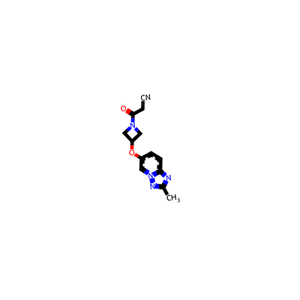 Cc1nc2ccc(OC3CN(C(=O)CC#N)C3)cn2n1